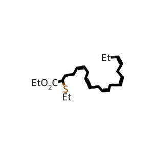 CC/C=C\C/C=C\C/C=C\C/C=C\C/C=C\CCC(SCC)C(=O)OCC